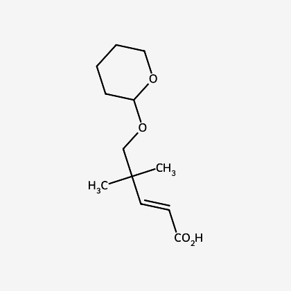 CC(C)(C=CC(=O)O)COC1CCCCO1